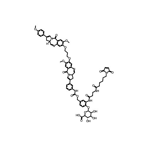 COc1ccc(C2=CN3C(=O)c4cc(OC)c(OCCCOc5cc6c(cc5OC)C(=O)N5C=C(c7cccc(NC(=O)OCc8ccc(O[C@@H]9OC(C(=O)O)[C@@H](O)C(O)C9O)c(NC(=O)CCNC(=O)CCCCCN9C(=O)C=CC9=O)c8)c7)CC5C=N6)cc4N=C[C@@H]3C2)cc1